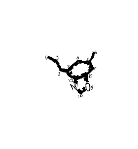 CCCc1cc(C)cc2ocnc12